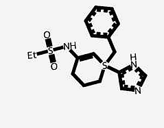 CCS(=O)(=O)NC1=CS(Cc2ccccc2)(c2cnc[nH]2)CCC1